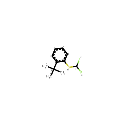 CC(C)(C)c1ccccc1SC(F)F